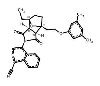 CC[C@@]12CC[C@@](CCOc3cc(C)cc(C)c3)(O1)[C@H]1C(=O)N(c3ccc(C#N)c4ccccc34)C(=O)[C@H]12